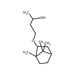 CC(O)CCOC1CC2CCC1(C)C2(C)C